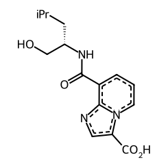 CC(C)C[C@@H](CO)NC(=O)c1cccn2c(C(=O)O)cnc12